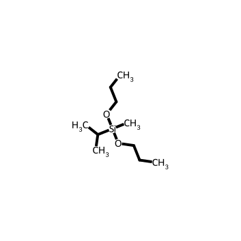 CCCO[Si](C)(OCCC)C(C)C